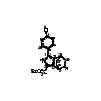 CCOC(=O)c1nn(-c2ccc(Cl)cc2)c2c1C1CCC2CC1